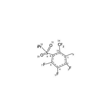 Cc1c(F)c(F)c(F)c(S(=O)(=O)C(C)C)c1C(F)(F)F